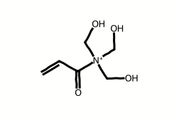 C=CC(=O)[N+](CO)(CO)CO